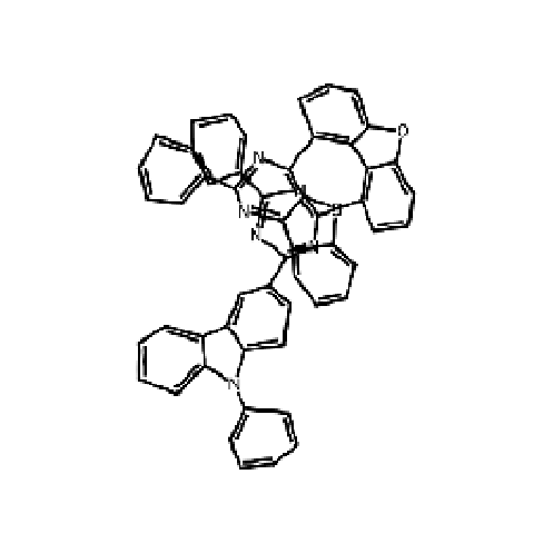 c1ccc(-c2nc(-c3ccc4c(c3)c3ccccc3n4-c3ccccc3)nc(-c3cccc4oc5cccc(-c6nc(-c7ccccc7)nc7c6sc6ccccc67)c5c34)n2)cc1